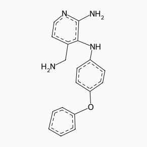 NCc1ccnc(N)c1Nc1ccc(Oc2ccccc2)cc1